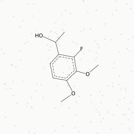 COc1ccc(C(C)O)c(F)c1OC